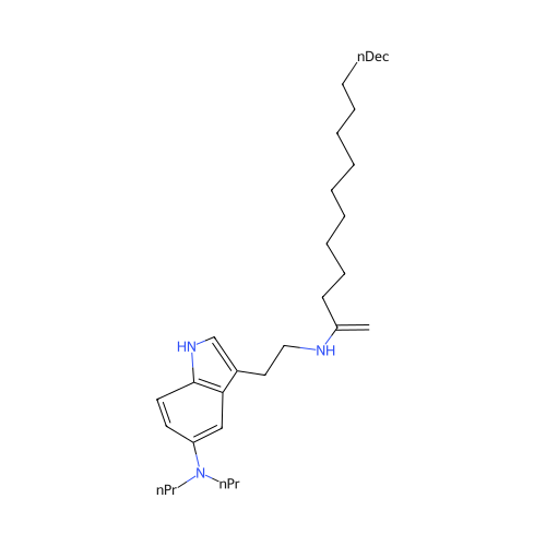 C=C(CCCCCCCCCCCCCCCCCCC)NCCc1c[nH]c2ccc(N(CCC)CCC)cc12